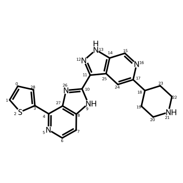 c1csc(-c2nccc3[nH]c(-c4n[nH]c5cnc(C6CCNCC6)cc45)nc23)c1